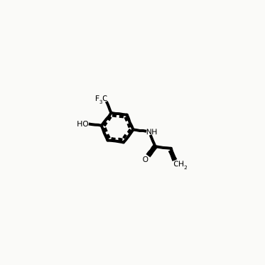 C=CC(=O)Nc1ccc(O)c(C(F)(F)F)c1